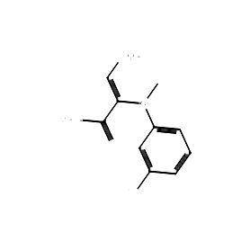 CO/C=C(/C(=O)OC)N(C)c1cccc(C(C)=O)c1